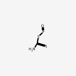 NC(=S)SP=O